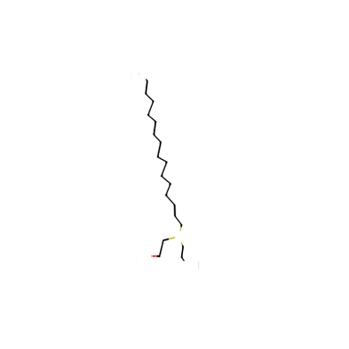 CCCCCCCCCCCCCCCC[S+](CCC)CCO